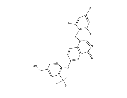 O=c1ncn(Cc2c(F)cc(F)cc2F)c2ccc(Oc3ncc(CO)cc3C(F)(F)F)cc12